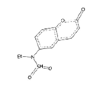 [CH2]CN(c1ccc2oc(=O)ccc2c1)[SH](=O)=O